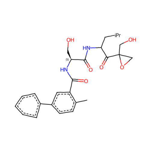 Cc1ccc(-c2ccccc2)cc1C(=O)N[C@@H](CO)C(=O)NC(CC(C)C)C(=O)C1(CO)CO1